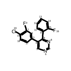 Fc1cc(-c2cn[c]nc2-c2ccccc2F)ccc1Cl